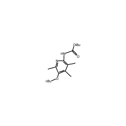 CCCCOc1c(C)nc(NC(=O)OCC(C)C)c(C)c1C